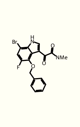 CNC(=O)C(=O)c1c[nH]c2c(Br)cc(F)c(OCc3ccccc3)c12